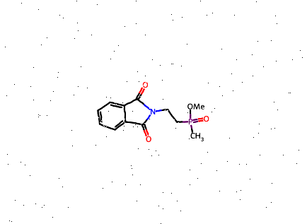 COP(C)(=O)CCN1C(=O)c2ccccc2C1=O